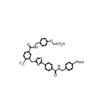 CCCCCc1ccc(CNC(=O)c2ccc(-c3nc(Cc4cc(C(=O)NCc5ccc(OCC(=O)O)cc5)ccc4C(F)(F)F)cs3)cc2)cc1